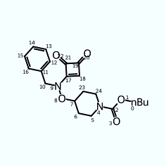 CCCCOC(=O)N1CCC(ON(Cc2ccccc2)c2cc(=O)c2=O)CC1